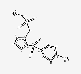 COS(=O)(=O)Cc1nccn1S(=O)(=O)c1ccc(C)cc1